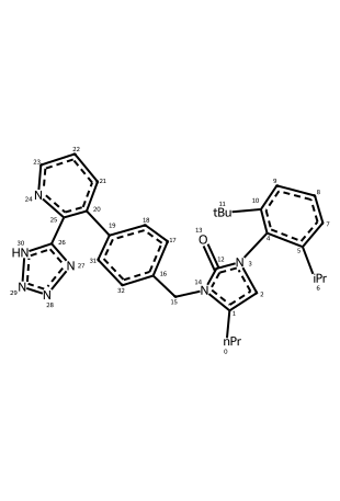 CCCc1cn(-c2c(C(C)C)cccc2C(C)(C)C)c(=O)n1Cc1ccc(-c2cccnc2-c2nnn[nH]2)cc1